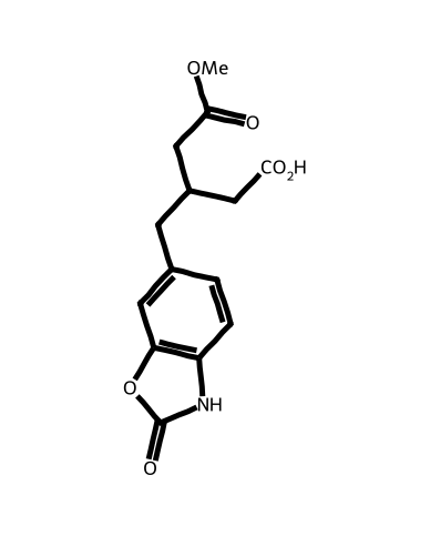 COC(=O)CC(CC(=O)O)Cc1ccc2[nH]c(=O)oc2c1